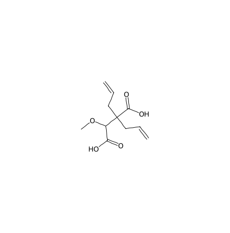 C=CCC(CC=C)(C(=O)O)C(OC)C(=O)O